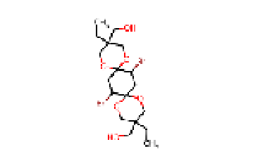 CCC1(CO)COC2(CC(Br)C3(CC2Br)OCC(CC)(CO)CO3)OC1